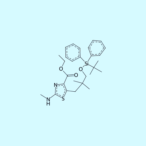 CCOC(=O)c1nc(NC)sc1CC(C)(C)CO[Si](c1ccccc1)(c1ccccc1)C(C)(C)C